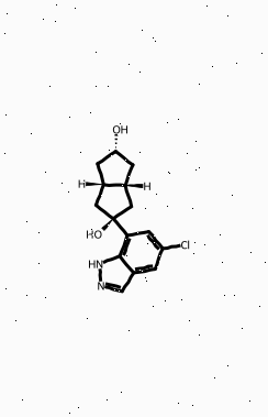 O[C@@H]1C[C@@H]2C[C@](O)(c3cc(Cl)cc4cn[nH]c34)C[C@@H]2C1